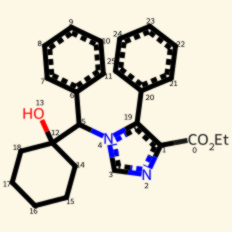 CCOC(=O)c1ncn(C(c2ccccc2)C2(O)CCCCC2)c1-c1ccccc1